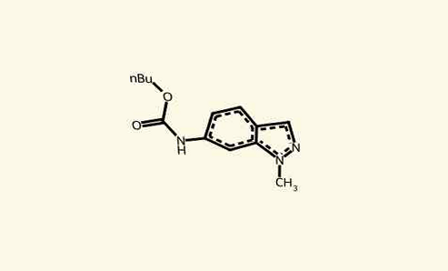 CCCCOC(=O)Nc1ccc2cnn(C)c2c1